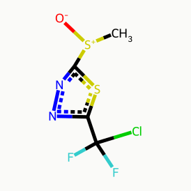 C[S+]([O-])c1nnc(C(F)(F)Cl)s1